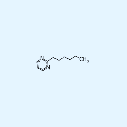 [CH2]CCCCCc1ncccn1